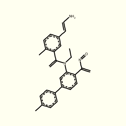 C=C(N=O)c1ccc(-c2ccc(C)cc2)cc1N(CC)C(=C)c1cc(/C=C/N)ccc1C